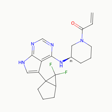 C=CC(=O)N1CCC[C@@H](Nc2ncnc3[nH]cc(C45CCCC4C5(F)F)c23)C1